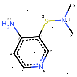 CN(C)Sc1cnccc1N